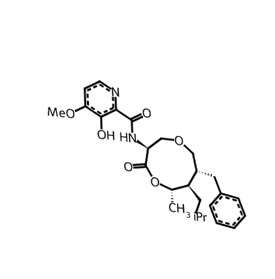 COc1ccnc(C(=O)N[C@H]2COC[C@H](Cc3ccccc3)[C@@H](CC(C)C)[C@H](C)OC2=O)c1O